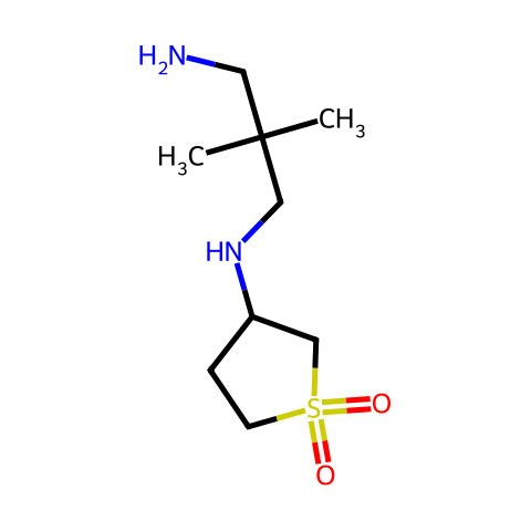 CC(C)(CN)CNC1CCS(=O)(=O)C1